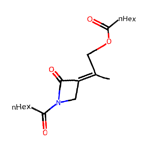 CCCCCCC(=O)OCC(C)=C1CN(C(=O)CCCCCC)C1=O